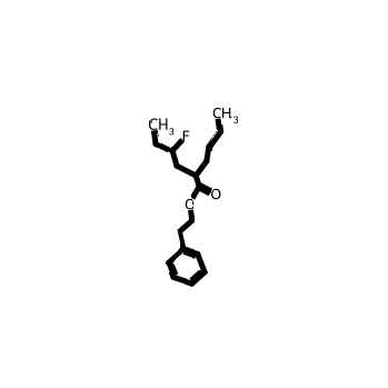 CCCCC(CC(F)CC)C(=O)OCCc1ccccc1